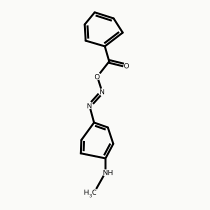 CNc1ccc(N=NOC(=O)c2ccccc2)cc1